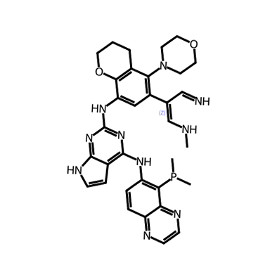 CN/C=C(\C=N)c1cc(Nc2nc(Nc3ccc4nccnc4c3P(C)C)c3cc[nH]c3n2)c2c(c1N1CCOCC1)CCCO2